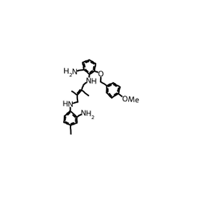 COc1ccc(COc2cccc(N)c2NC/C(C)=C(\C)CNc2ccc(C)cc2N)cc1